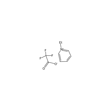 CC[n+]1ccccc1.O=C([O-])C(F)(F)F